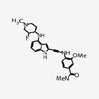 CNC(=O)c1ccc(NC#Cc2cc3c(NC4CCN(C)CC4F)cccc3[nH]2)c(OC)c1